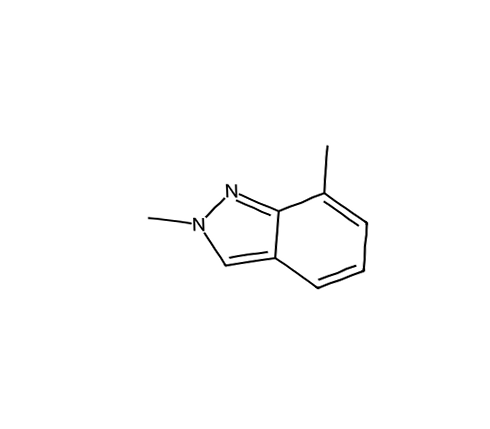 Cc1cccc2cn(C)nc12